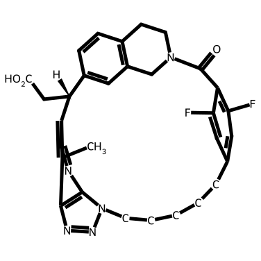 Cc1c2cnc3c1nnn3CCCCCc1cc(F)c(c(F)c1)C(=O)N1CCc3ccc(cc3C1)[C@H]2CC(=O)O